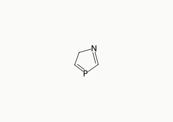 C1=NCC=P1